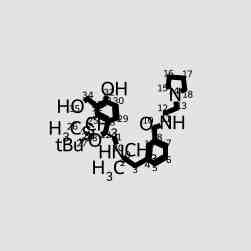 CC(C)(Cc1cccc(C(=O)NCCN2CCCC2)c1)NC[C@@H](O[Si](C)(C)C(C)(C)C)c1ccc(O)c(CO)c1